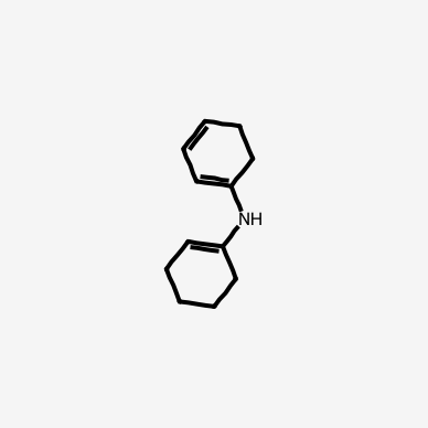 C1=CCCC(NC2=CCCCC2)=C1